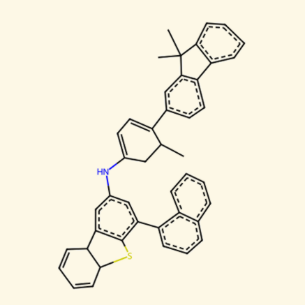 CC1CC(Nc2cc(-c3cccc4ccccc34)c3c(c2)C2C=CC=CC2S3)=CC=C1c1ccc2c(c1)C(C)(C)c1ccccc1-2